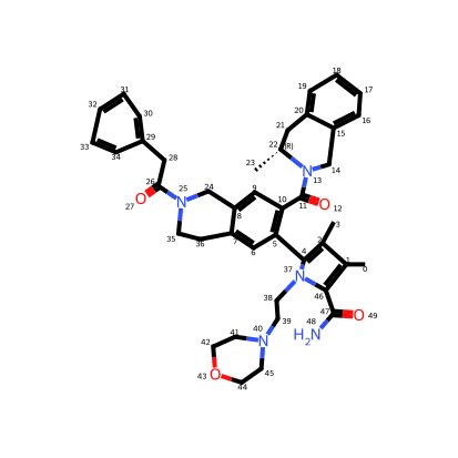 Cc1c(C)c(-c2cc3c(cc2C(=O)N2Cc4ccccc4C[C@H]2C)CN(C(=O)Cc2ccccc2)CC3)n(CCN2CCOCC2)c1C(N)=O